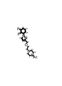 CC(=O)N1CCN(CCOCc2ccn(-c3cccc(F)c3F)n2)CC1